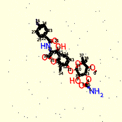 CO[C@@H]1[C@@H](OC(N)=O)[C@@H](O)[C@H](Oc2ccc3c(O)c(NC(=O)c4ccc(I)cc4)c(=O)oc3c2C)OC1(C)C